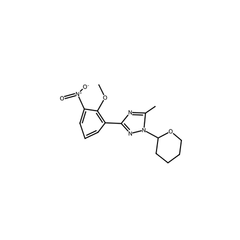 COc1c(-c2nc(C)n(C3CCCCO3)n2)cccc1[N+](=O)[O-]